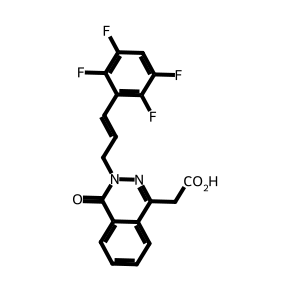 O=C(O)Cc1nn(C/C=C/c2c(F)c(F)cc(F)c2F)c(=O)c2ccccc12